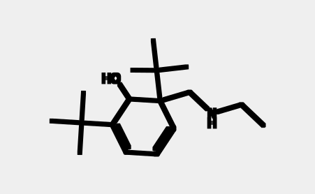 CCNCC1(C(C)(C)C)C=CC=C(C(C)(C)C)C1O